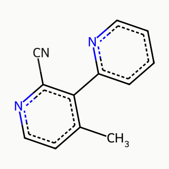 Cc1ccnc(C#N)c1-c1ccccn1